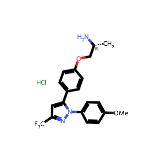 COc1ccc(-n2nc(C(F)(F)F)cc2-c2ccc(OC[C@@H](C)N)cc2)cc1.Cl